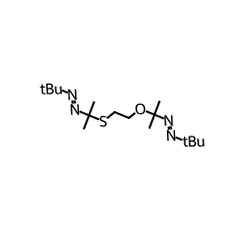 CC(C)(C)N=NC(C)(C)OCCSC(C)(C)N=NC(C)(C)C